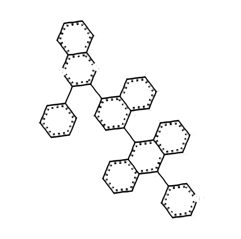 c1ccc(-c2nc3ccccc3nc2-c2ccc(-c3c4ccccc4c(-c4cccnc4)c4ccccc34)c3ccccc23)cc1